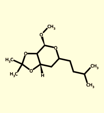 CO[C@H]1OC(CCC(C)C)C[C@@H]2OC(C)(C)OC12